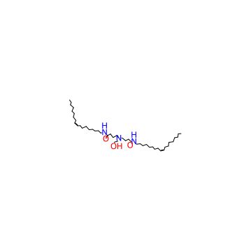 CCCCCCCC/C=C\CCCCCCCCNC(=O)CCCN(CCO)CCCC(=O)NCCCCCCCC/C=C\CCCCCCCC